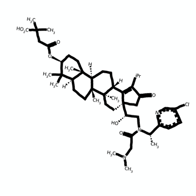 CC(C)C1=C2[C@H]3CC[C@@H]4[C@@]5(C)CC[C@H](OC(=O)CC(C)(C)C(=O)O)C(C)(C)[C@@H]5CC[C@@]4(C)[C@]3(C)CC[C@@]2([C@@H](O)CN(C(=O)CN(C)C)[C@@H](C)c2ccc(Cl)cn2)CC1=O